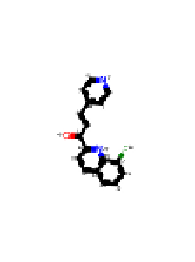 O=C(C=Cc1ccncc1)c1ccc2cccc(F)c2n1